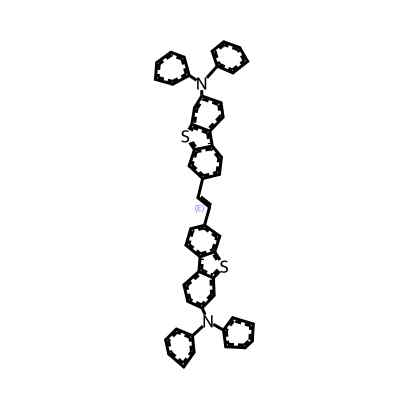 C(=C\c1ccc2c(c1)sc1cc(N(c3ccccc3)c3ccccc3)ccc12)/c1ccc2c(c1)sc1cc(N(c3ccccc3)c3ccccc3)ccc12